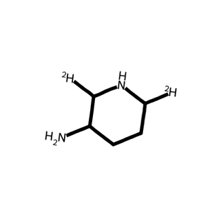 [2H]C1CCC(N)C([2H])N1